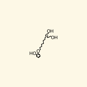 OCCN(CCO)CCCCCCCCOc1ccccc1O